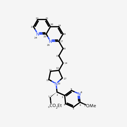 CCOC(=O)C[C@@H](c1ccc(OC)nc1)N1CCC(CCCc2ccc3cccnc3n2)C1